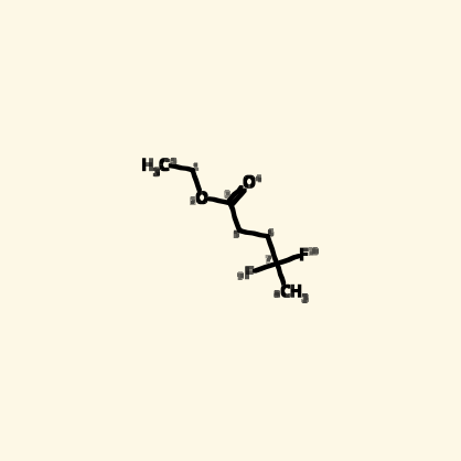 CCOC(=O)CCC(C)(F)F